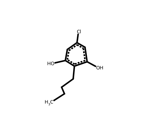 CCCCc1c(O)cc(Cl)cc1O